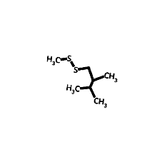 CSSCC(C)C(C)C